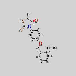 C=C1SC(=S)N(c2ccc(OCc3ccccc3CCCCCC)cc2)C1=O